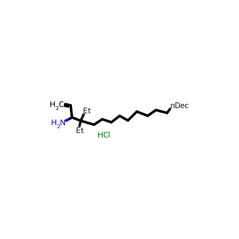 C=CC(N)C(CC)(CC)CCCCCCCCCCCCCCCCCCC.Cl